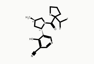 C[C@@H]1C[C@@H](c2cncc(C#N)c2O)N(C(=O)C2(C(F)F)CCCO2)C1